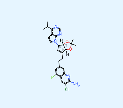 CC(C)c1ncnc2c1ccn2[C@@H]1C=C(CCc2cc(F)c3cc(Cl)c(N)nc3c2)[C@H]2OC(C)(C)O[C@H]21